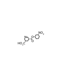 O=C(O)c1cncc(C(=O)Oc2cccc([N+](=O)[O-])c2)c1